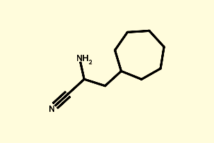 N#CC(N)CC1CCCCCC1